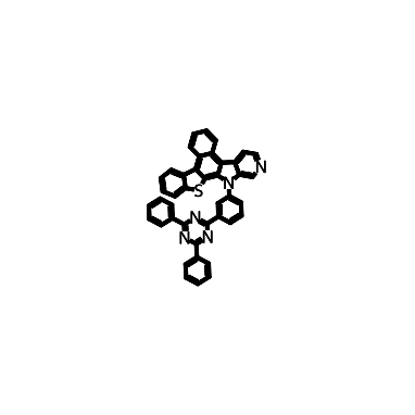 c1ccc(-c2nc(-c3ccccc3)nc(-c3cccc(-n4c5cnccc5c5c6ccccc6c6c7ccccc7sc6c54)c3)n2)cc1